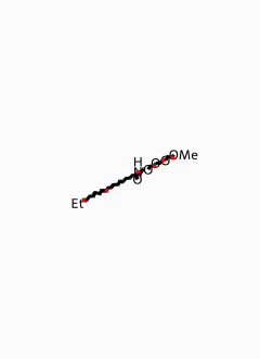 CCC=CCC=CCC=CCC=CCC=CCCCC(=O)NCCOCCOCCOCCOC